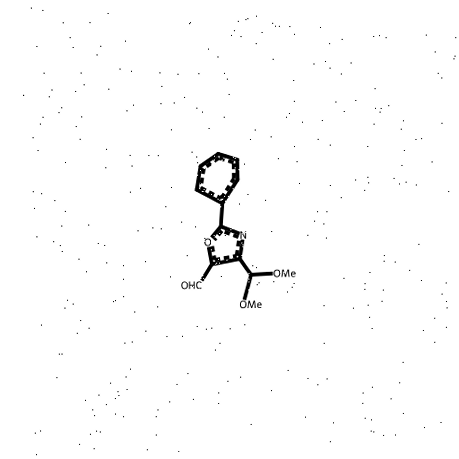 COC(OC)c1nc(-c2ccccc2)oc1C=O